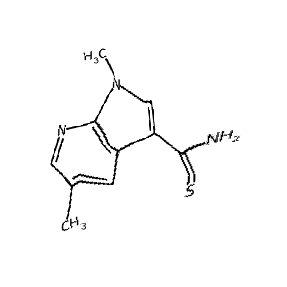 Cc1cnc2c(c1)c(C(N)=S)cn2C